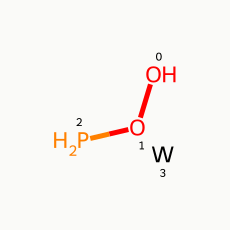 OOP.[W]